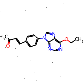 CCOc1ncnc2c1ncn2-c1ccc(C=CC(C)=O)cc1